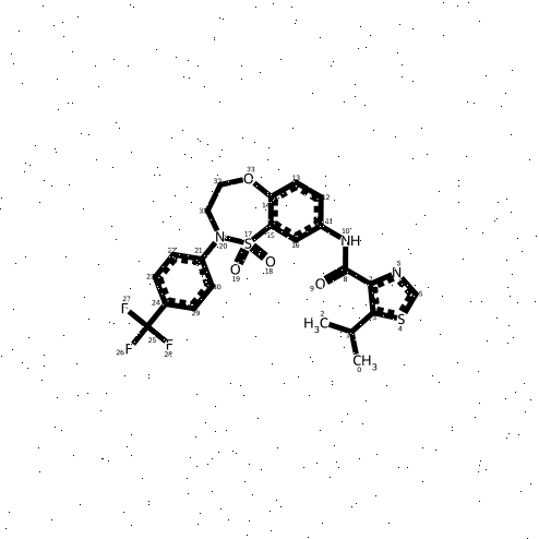 CC(C)c1scnc1C(=O)Nc1ccc2c(c1)S(=O)(=O)N(c1ccc(C(F)(F)F)cc1)CCO2